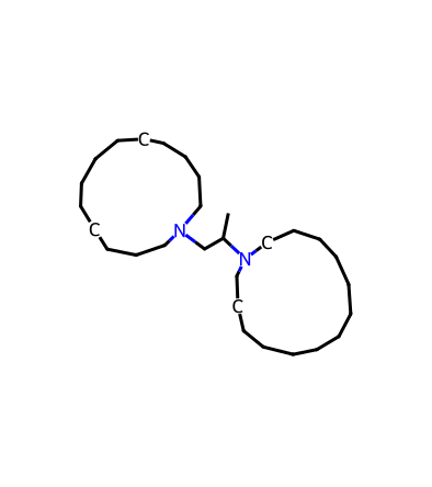 CC(CN1CCCCCCCCCCCCC1)N1CCCCCCCCCCCCC1